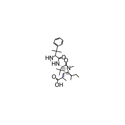 CCC(C)[C@@H](/C=C(\C)C(=O)O)N(C)C(=O)[C@@H](NC(=O)C(NC)C(C)(C)c1ccccc1)C(C)(C)C